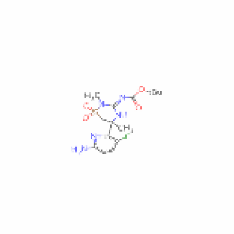 CN1/C(=N/C(=O)OC(C)(C)C)N[C@](C)(c2nc(N)ccc2Cl)CS1(=O)=O